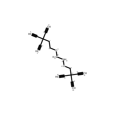 C#CC(C#C)(C#C)CCO[SiH2][SiH2]OCC(C#C)(C#C)C#C